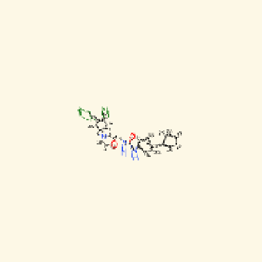 O=C(NCC1CN(Cc2ccc(Cl)c(Cl)c2)CCO1)Nc1ccc(-c2ccccc2)cc1